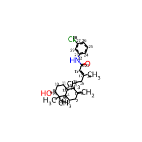 C=C1CC[C@@H]2C(C)(C)[C@H](O)CC[C@@]2(C)[C@@H]1CCC(C)=CC(=O)Nc1cccc(Cl)c1